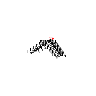 C=CC.C=CC.C=CC.C=CC.C=CC.C=CC.C=CC.C=CC.C=CC.C=CC.C=CC.C=CC.C=CC.C=CC.C=CC.C=CC.COCCO